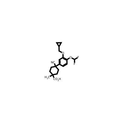 CC1(C(=O)O)CCC(C#N)(c2ccc(OC(F)F)c(OCC3CC3)c2)CC1